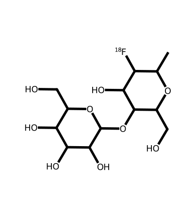 CC1OC(CO)C(OC2OC(CO)C(O)C(O)C2O)C(O)C1[18F]